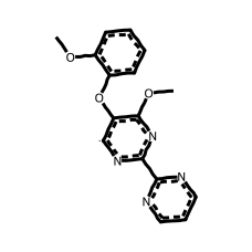 COc1ccccc1Oc1[c]nc(-c2ncccn2)nc1OC